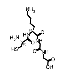 NCCCC[C@H](NC(=O)[C@@H](N)CS)C(=O)NCC(=O)NCC(=O)O